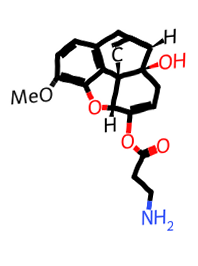 COc1ccc2c3c1O[C@H]1C(OC(=O)CCN)=CC[C@@]4(O)[C@H](CCC[C@]314)C2